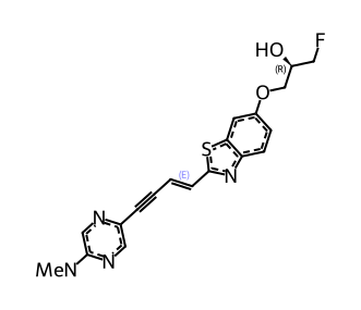 CNc1cnc(C#C/C=C/c2nc3ccc(OC[C@@H](O)CF)cc3s2)cn1